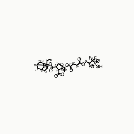 CCC1(OC(=O)C2C3OC4C(OC(=O)C42)C3OC(=O)CCC(=O)OCC(F)C(F)(F)S(=O)(=O)O)C2CC3CC(C2)CC1C3